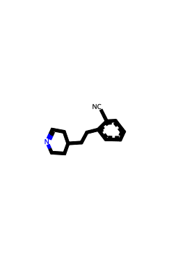 N#Cc1ccccc1CCC1CC=NCC1